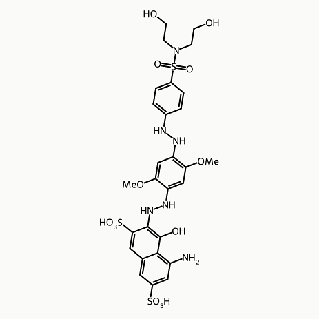 COc1cc(NNc2c(S(=O)(=O)O)cc3cc(S(=O)(=O)O)cc(N)c3c2O)c(OC)cc1NNc1ccc(S(=O)(=O)N(CCO)CCO)cc1